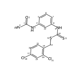 CCCC(=O)Nc1cccc(NC(=S)SCc2ccc(Cl)cc2Cl)c1